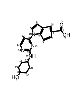 O=C(O)c1ccc2c(ccn2-c2ccnc(NC3CCC(O)CC3)n2)c1